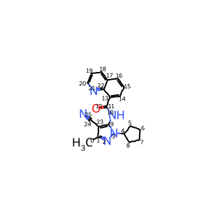 Cc1nn(C2CCCC2)c(NC(=O)c2cccc3cccnc23)c1C#N